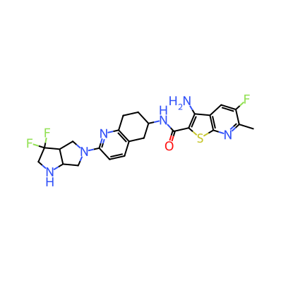 Cc1nc2sc(C(=O)NC3CCc4nc(N5CC6NCC(F)(F)C6C5)ccc4C3)c(N)c2cc1F